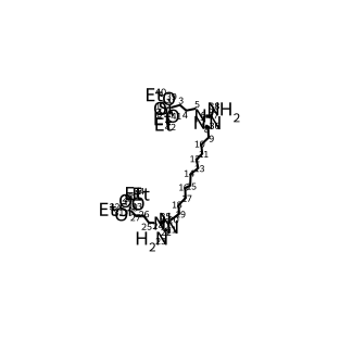 CCO[Si](CCCn1nc(CCCCCCCCCCCc2nc(N)n(CCC[Si](OCC)(OCC)OCC)n2)nc1N)(OCC)OCC